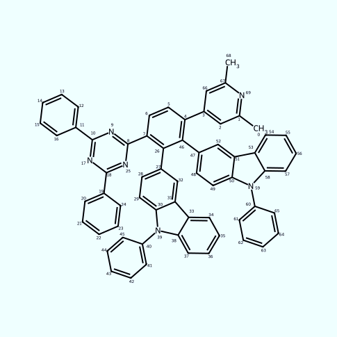 Cc1cc(-c2ccc(-c3nc(-c4ccccc4)nc(-c4ccccc4)n3)c(-c3ccc4c(c3)c3ccccc3n4-c3ccccc3)c2-c2ccc3c(c2)c2ccccc2n3-c2ccccc2)cc(C)n1